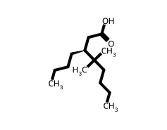 CCCC[C@@H](CC(=O)O)C(C)(C)CCCC